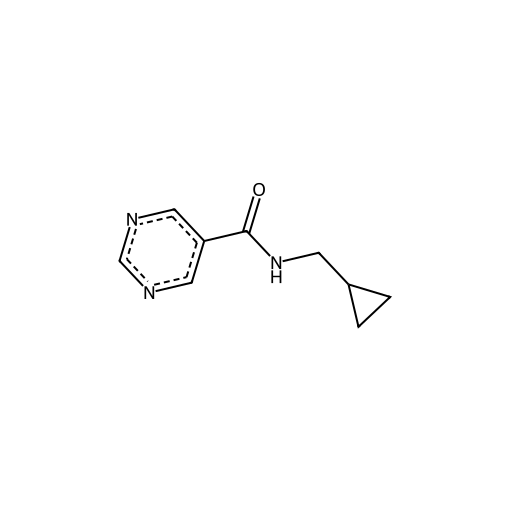 O=C(NCC1CC1)c1cncnc1